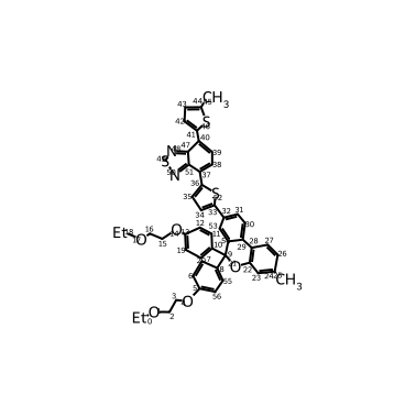 CCOCCOc1ccc(C2(c3ccc(OCCOCC)cc3)Oc3cc(C)ccc3-c3ccc(-c4ccc(-c5ccc(-c6ccc(C)s6)c6nsnc56)s4)cc32)cc1